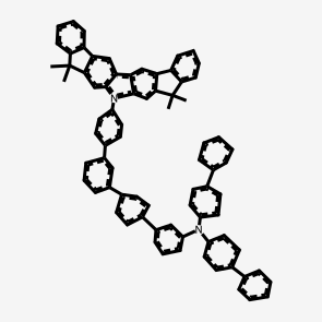 CC1(C)c2ccccc2-c2cc3c4cc5c(cc4n(-c4ccc(-c6cccc(-c7ccc(-c8cccc(N(c9ccc(-c%10ccccc%10)cc9)c9ccc(-c%10ccccc%10)cc9)c8)cc7)c6)cc4)c3cc21)C(C)(C)c1ccccc1-5